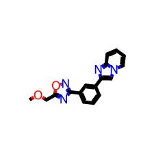 COCc1nc(-c2cccc(-c3cn4ccccc4n3)c2)no1